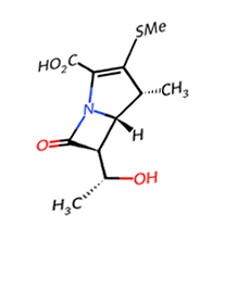 CSC1=C(C(=O)O)N2C(=O)[C@H]([C@@H](C)O)[C@H]2[C@H]1C